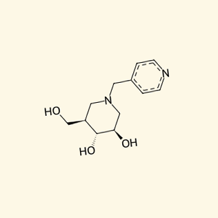 OC[C@H]1CN(Cc2ccncc2)C[C@@H](O)[C@@H]1O